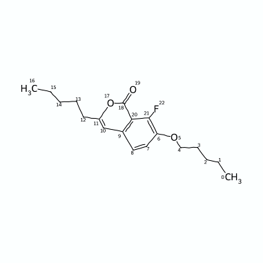 CCCCCOc1ccc2cc(CCCCC)oc(=O)c2c1F